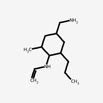 C=CNC1C(C)CC(CN)CC1CCC